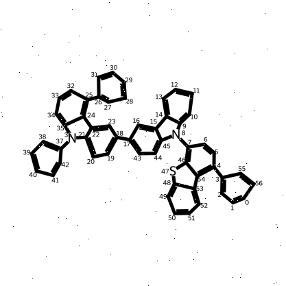 c1ccc(-c2ccc(-n3c4ccccc4c4cc(-c5ccc6c(c5)c5c(-c7ccccc7)cccc5n6-c5ccccc5)ccc43)c3sc4ccccc4c23)cc1